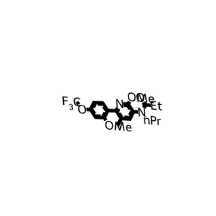 CCCN(C(=O)CC)c1cc(C)c(-c2ccc(OC(F)(F)F)cc2OC)nc1OC